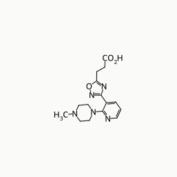 CN1CCN(c2ncccc2-c2noc(CCC(=O)O)n2)CC1